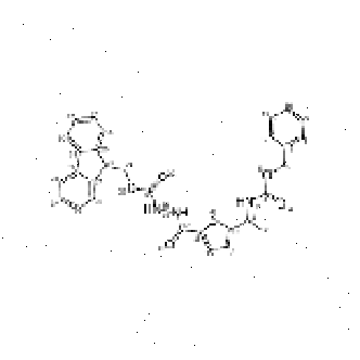 CC(NC(=O)OCc1ccccc1)c1ccc(C(=O)NNC(=O)OCC2c3ccccc3-c3ccccc32)s1